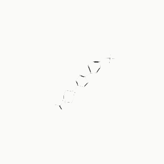 O=C(O)N1CCN(c2ccc(-c3ccc(OC(F)(F)F)cc3)cc2)CC1